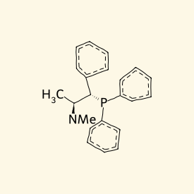 CN[C@@H](C)[C@H](c1ccccc1)P(c1ccccc1)c1ccccc1